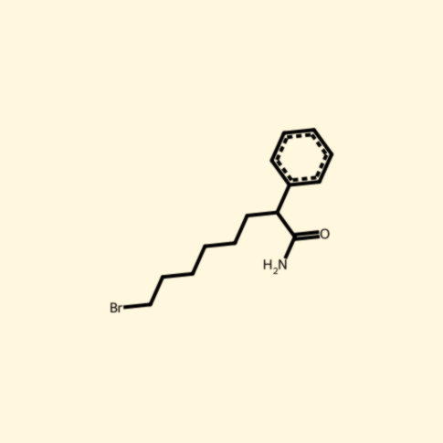 NC(=O)C(CCCCCCBr)c1ccccc1